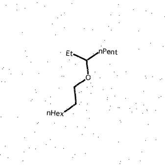 [CH2]CCCCC(CC)OCCCCCCCC